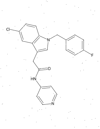 O=C(Cc1cn(Cc2ccc(F)cc2)c2ccc(Cl)cc12)Nc1ccncc1